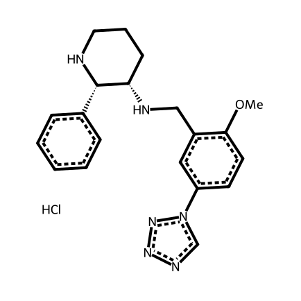 COc1ccc(-n2cnnn2)cc1CN[C@H]1CCCN[C@H]1c1ccccc1.Cl